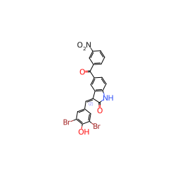 O=C1Nc2ccc(C(=O)c3cccc([N+](=O)[O-])c3)cc2/C1=C/c1cc(Br)c(O)c(Br)c1